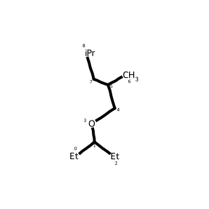 [CH2]CC(CC)OCC(C)CC(C)C